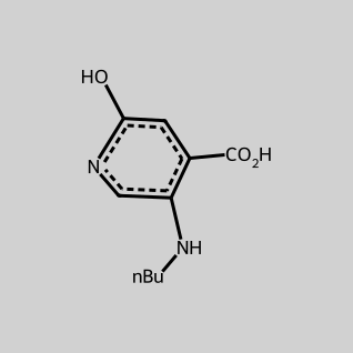 CCCCNc1cnc(O)cc1C(=O)O